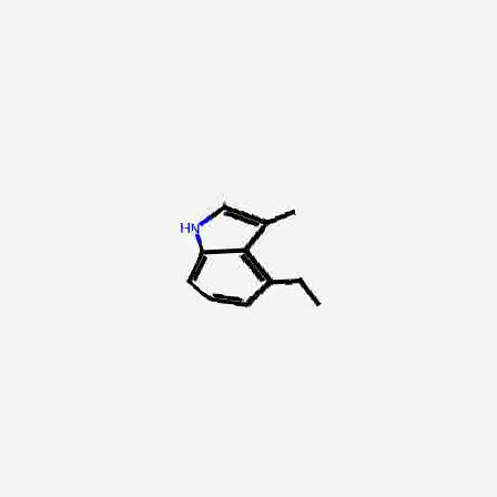 CCc1cccc2[nH][c]c(C)c12